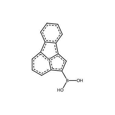 OB(O)c1cc2c3ccccc3c3cccc1n32